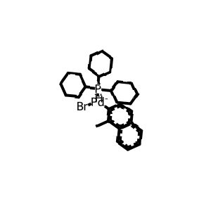 Cc1[c]([Pd-]([Br])[PH](C2CCCCC2)(C2CCCCC2)C2CCCCC2)ccc2ccccc12